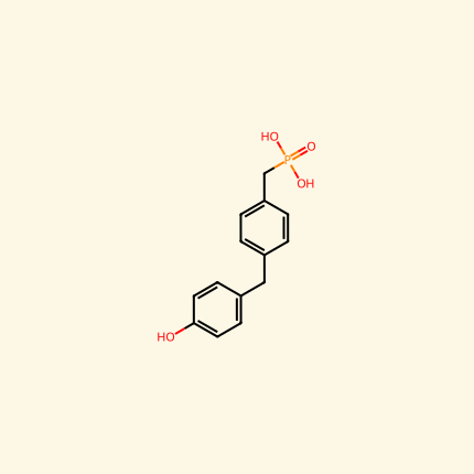 O=P(O)(O)Cc1ccc(Cc2ccc(O)cc2)cc1